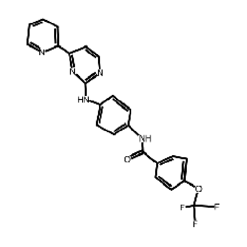 O=C(Nc1ccc(Nc2nccc(-c3ccccn3)n2)cc1)c1ccc(OC(F)(F)F)cc1